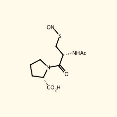 CC(=O)N[C@@H](CSN=O)C(=O)N1CCC[C@H]1C(=O)O